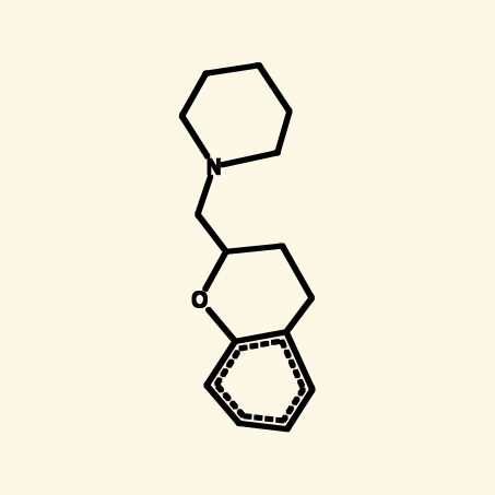 c1ccc2c(c1)CCC(CN1CCCCC1)O2